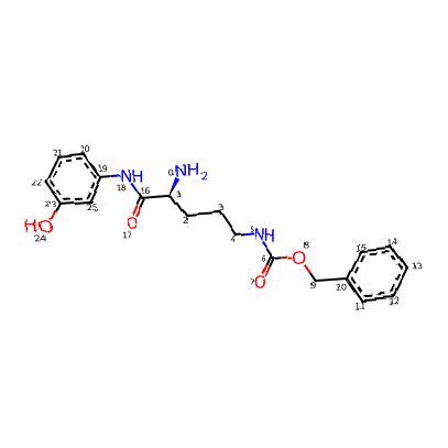 N[C@@H](CCCNC(=O)OCc1ccccc1)C(=O)Nc1cccc(O)c1